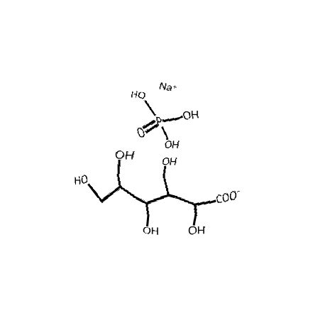 O=C([O-])C(O)C(O)C(O)C(O)CO.O=P(O)(O)O.[Na+]